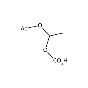 CC(=O)OC(C)OC(=O)O